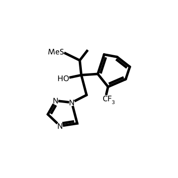 CSC(C)C(O)(Cn1cncn1)c1ccccc1C(F)(F)F